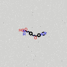 CN1CCN(c2ccc(C(=O)/C=C/c3ccc(/C=C/C(=O)NO)cc3)cc2)CC1